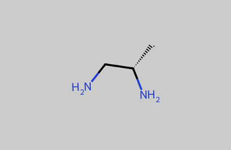 [CH2][C@H](N)CN